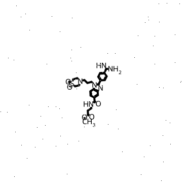 COC(=O)CCNC(=O)c1ccc2c(c1)nc(-c1ccc(C(=N)N)cc1)n2CCCN1CCS(=O)(=O)CC1